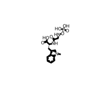 Cn1cc(C[C@@H](NC(=O)CNOP(=O)(O)O)C(=O)O)c2ccccc21